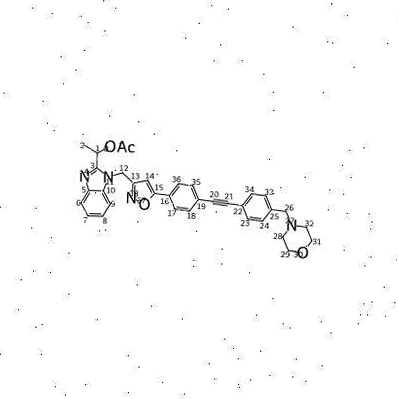 CC(=O)OC(C)c1nc2ccccc2n1Cc1cc(-c2ccc(C#Cc3ccc(CN4CCOCC4)cc3)cc2)on1